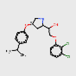 CC(C)c1ccc(O[C@H]2CNC(C(O)COc3cccc(Cl)c3Cl)C2)cc1